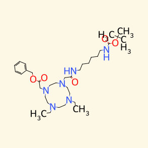 CCN1CCN(CC)CCN(CC(=O)OCc2ccccc2)CCN(CC(=O)NCCCCCCNC(=O)OC(C)(C)C)CC1